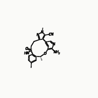 Cc1ccc2c(c1)[C@@H](C)Oc1cc(cnc1N)-c1c(nn(C)c1C#N)CCS2(=N)=O